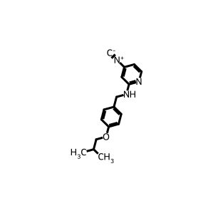 [C-]#[N+]c1ccnc(NCc2ccc(OCC(C)C)cc2)c1